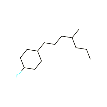 CCCC(C)CCCC1CCC(F)CC1